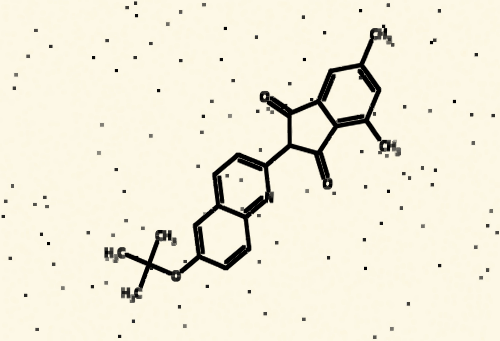 Cc1cc(C)c2c(c1)C(=O)C(c1ccc3cc(OC(C)(C)C)ccc3n1)C2=O